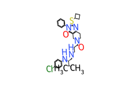 CC(C)[C@H](CNCCC(=O)N1CCc2nc(SC3CCC3)n(-c3ccccc3)c(=O)c2C1)Nc1ccc(Cl)cc1